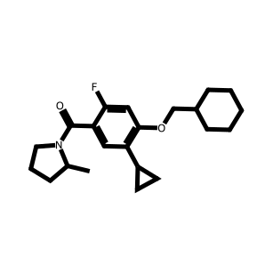 CC1CCCN1C(=O)c1cc(C2CC2)c(OCC2CCCCC2)cc1F